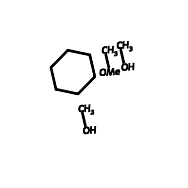 C1CCCCC1.CO.CO.COC